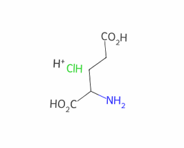 Cl.NC(CCC(=O)O)C(=O)O.[H+]